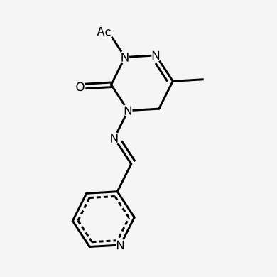 CC(=O)N1N=C(C)CN(N=Cc2cccnc2)C1=O